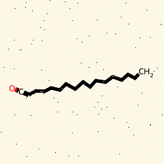 [CH2]CCCCCCCCCCCCCCC=C=O